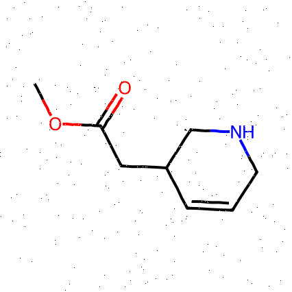 COC(=O)CC1[CH]NCC=C1